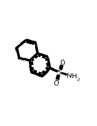 NS(=O)(=O)c1ccc2c(c1)C=CCC2